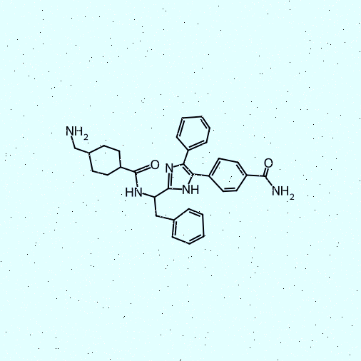 NCC1CCC(C(=O)NC(Cc2ccccc2)c2nc(-c3ccccc3)c(-c3ccc(C(N)=O)cc3)[nH]2)CC1